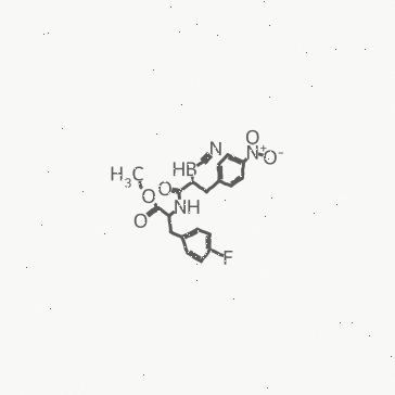 CCOC(=O)C(Cc1ccc(F)cc1)NC(=O)[C@@H](BC#N)Cc1ccc([N+](=O)[O-])cc1